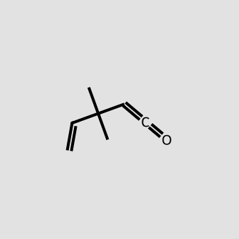 C=CC(C)(C)C=C=O